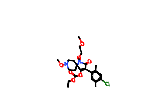 CCOC(=O)OC1=C(c2cc(C)c(Cl)cc2C)C(=O)N(OCCOC)C12CCN(OC)CC2